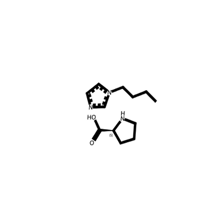 CCCCn1ccnc1.O=C(O)[C@@H]1CCCN1